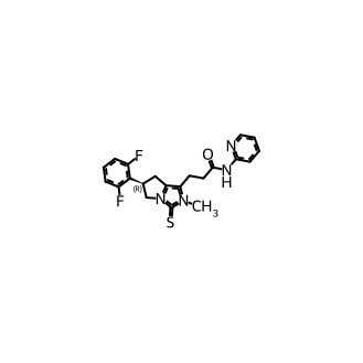 Cn1c(CCC(=O)Nc2ccccn2)c2n(c1=S)C[C@@H](c1c(F)cccc1F)C2